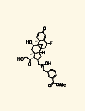 COC(=O)c1cccc(CN(O)C[C@@H]2C[C@H]3C45C[C@H](F)C6=CC(=O)C=C[C@]6(C)[C@@]4(C5)[C@@H](O)C[C@]3(C)[C@H]2C(=O)CO)c1